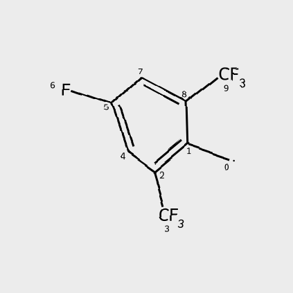 [CH2]c1c(C(F)(F)F)cc(F)cc1C(F)(F)F